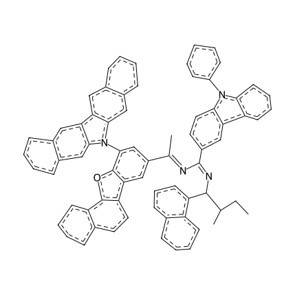 CCC(C)C(/N=C(\N=C(/C)c1cc(-n2c3cc4ccccc4cc3c3cc4ccccc4cc32)c2oc3c4ccccc4ccc3c2c1)c1ccc2c(c1)c1ccccc1n2-c1ccccc1)c1cccc2ccccc12